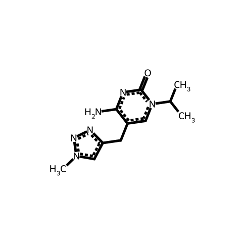 CC(C)n1cc(Cc2cn(C)nn2)c(N)nc1=O